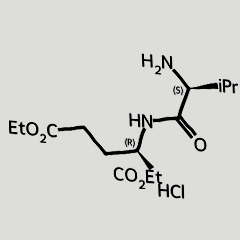 CCOC(=O)CC[C@@H](NC(=O)[C@@H](N)C(C)C)C(=O)OCC.Cl